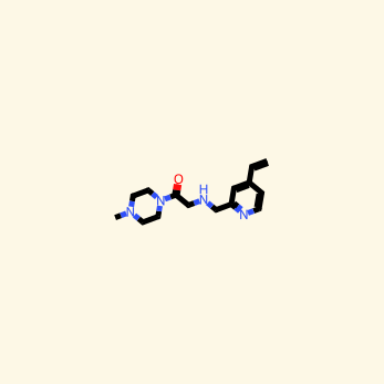 C=Cc1ccnc(CNCC(=O)N2CCN(C)CC2)c1